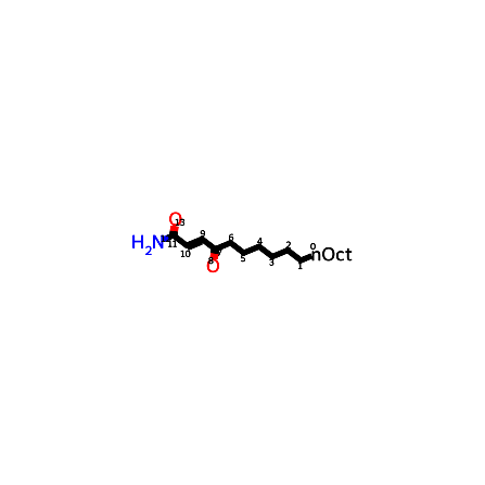 CCCCCCCCCCCCCCC(=O)C=CC(N)=O